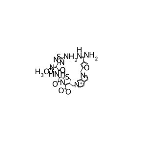 CO/N=C(\C(=O)N[C@@H]1C(=O)N2C(C(=O)[O-])=C(C[n+]3ccc4ccn(Cc5cc(C(=N)N)co5)c4c3)CS[C@H]12)c1nsc(N)n1